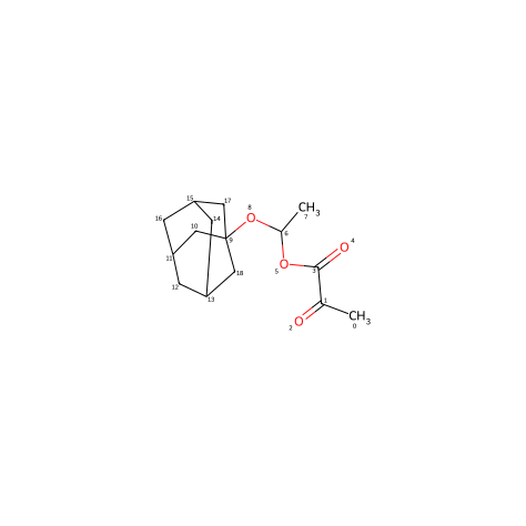 CC(=O)C(=O)OC(C)OC12CC3CC(CC(C3)C1)C2